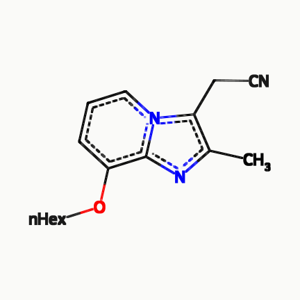 CCCCCCOc1cccn2c(CC#N)c(C)nc12